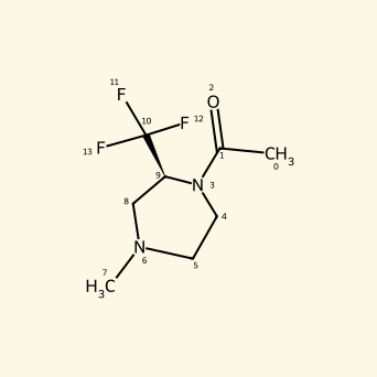 CC(=O)N1CCN(C)C[C@H]1C(F)(F)F